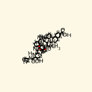 Cn1nnc(-c2ccc3nc(C4=NC(C(=O)Nc5cnoc5)=C(O)CN4Cc4ccc(NC(=O)c5nc(N6CCc7cc(C(=O)O)ccc7[C@H]6c6ccccc6)n(C)c(=O)c5O)cc4)n(C4CCC4)c3c2)n1